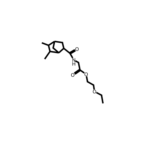 CCOCCOC(=O)CNC(=O)C1CC2CC1C(C)C2C